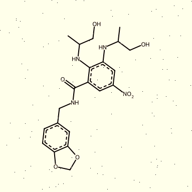 CC(CO)Nc1cc([N+](=O)[O-])cc(C(=O)NCc2ccc3c(c2)OCO3)c1NC(C)CO